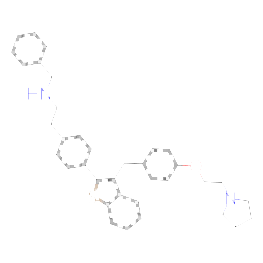 c1ccc(CNCCc2ccc(-c3sc4ccccc4c3Cc3ccc(OCCN4CCCC4)cc3)cc2)cc1